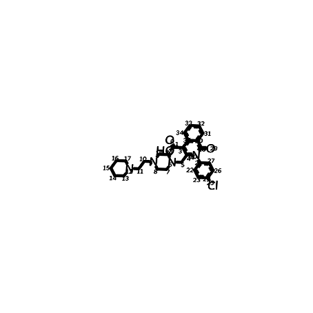 O=C(O)c1c(CN2CCN(CCN3CCCCC3)CC2)n(-c2ccc(Cl)cc2)c(=O)c2ccccc12